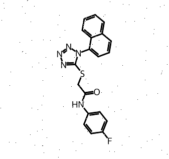 O=C(CSc1nnnn1-c1cccc2ccccc12)Nc1ccc(F)cc1